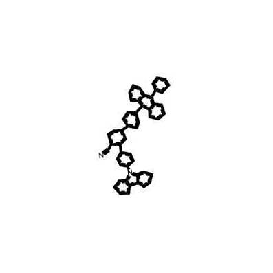 N#Cc1ccc(-c2ccc(-c3c4ccccc4c(-c4ccccc4)c4ccccc34)cc2)cc1-c1ccc(-n2c3ccccc3c3ccccc32)cc1